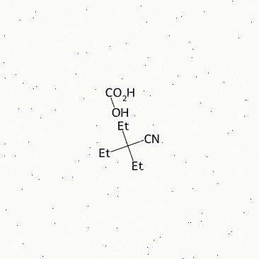 CCC(C#N)(CC)CC.O=C(O)O